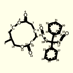 CC1CCOC(=O)CCCCC(=O)OC1.O=C=NC(N=C=O)(c1ccccc1)c1ccccc1